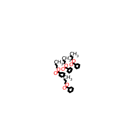 CCCCOC(=O)c1ccccc1.CCCCOC(=O)c1ccccc1.CCCCOC(=O)c1ccccc1.CCCCOC(=O)c1ccccc1